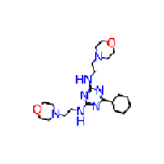 C1CCC(c2nc(NCCN3CCOCC3)nc(NCCN3CCOCC3)n2)CC1